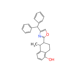 CC1c2cccc(O)c2CCC1c1nc(C(c2ccccc2)c2ccccc2)co1